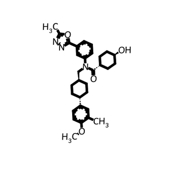 COc1ccc([C@H]2CC[C@H](CN(c3cccc(-c4nnc(C)o4)c3)C(=O)[C@H]3CC[C@H](O)CC3)CC2)cc1C